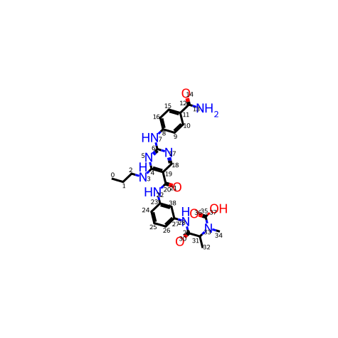 CCCNc1nc(Nc2ccc(C(N)=O)cc2)ncc1C(=O)Nc1cccc(NC(=O)C(C)N(C)C(=O)O)c1